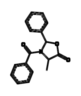 CC1C(=O)OC(c2ccccc2)N1C(=O)c1ccccc1